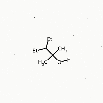 CCC(CC)C(C)(C)OF